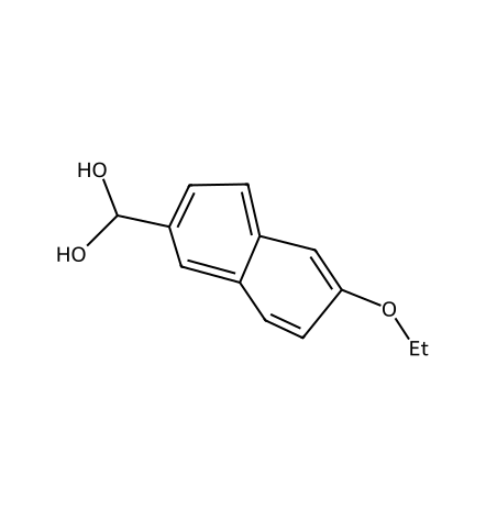 CCOc1ccc2cc(C(O)O)ccc2c1